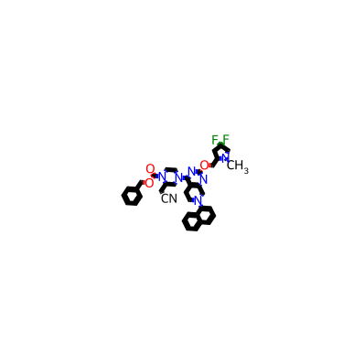 CN1CC(F)(F)CC1COc1nc2c(c(N3CCN(C(=O)OCc4ccccc4)C(CC#N)C3)n1)CCN(c1cccc3ccccc13)C2